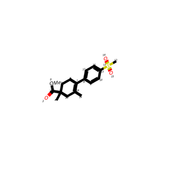 COC(=O)C1(C)CCC(c2ccc(S(C)(=O)=O)cc2)=C(C)C1